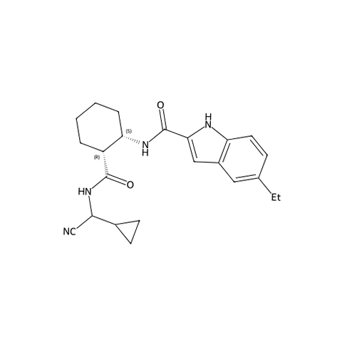 CCc1ccc2[nH]c(C(=O)N[C@H]3CCCC[C@H]3C(=O)NC(C#N)C3CC3)cc2c1